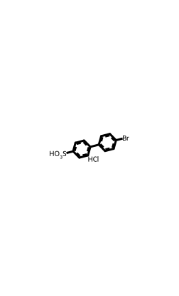 Cl.O=S(=O)(O)c1ccc(-c2ccc(Br)cc2)cc1